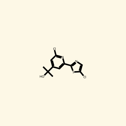 CC(C)(O)c1cc(Cl)nc(-c2ncc(Cl)s2)c1